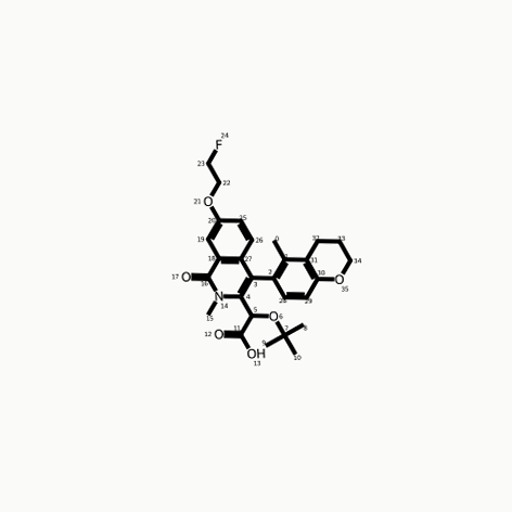 Cc1c(-c2c(C(OC(C)(C)C)C(=O)O)n(C)c(=O)c3cc(OCCF)ccc23)ccc2c1CCCO2